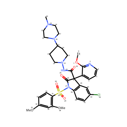 CCOc1ncccc1C1(C(=O)NN2CCC(N3CCN(C)CC3)CC2)C(=O)N(S(=O)(=O)c2ccc(OC)cc2OC)c2ccc(Cl)cc21